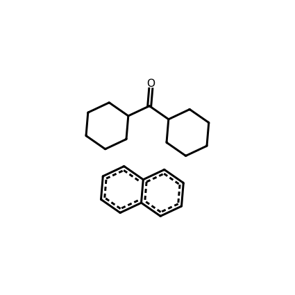 O=C(C1CCCCC1)C1CCCCC1.c1ccc2ccccc2c1